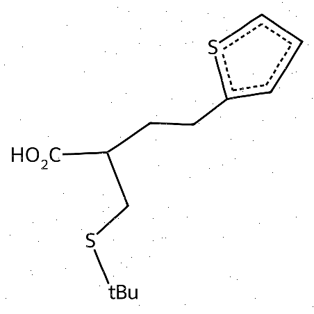 CC(C)(C)SCC(CCc1cccs1)C(=O)O